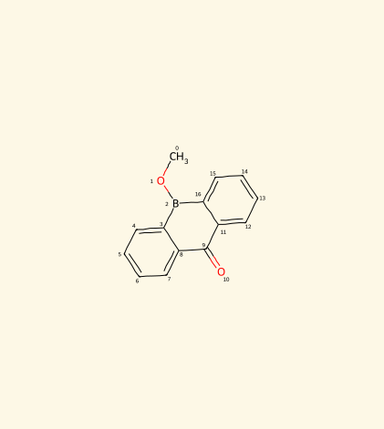 COB1c2ccccc2C(=O)c2ccccc21